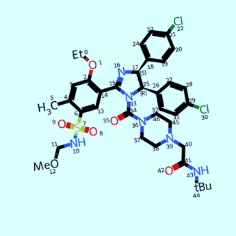 CCOc1cc(C)c(S(=O)(=O)NCOC)cc1C1=N[C@@H](c2ccc(Cl)cc2)[C@@H](c2ccc(Cl)cc2)N1C(=O)N1CCN(CC(=O)NC(C)(C)C)CC1